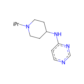 CC(C)N1CCC(Nc2ccncn2)CC1